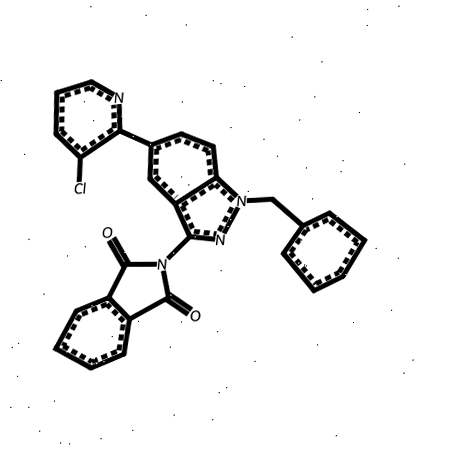 O=C1c2ccccc2C(=O)N1c1nn(Cc2ccccc2)c2ccc(-c3ncccc3Cl)cc12